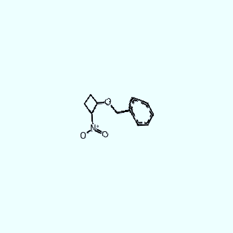 O=[N+]([O-])C1CCC1OCc1ccccc1